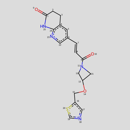 O=C1CCc2cc(/C=C/C(=O)N3CC(OCc4cncs4)C3)cnc2N1